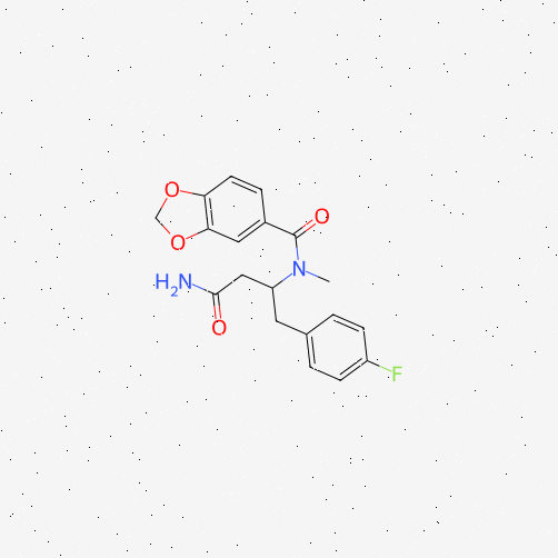 CN(C(=O)c1ccc2c(c1)OCO2)C(CC(N)=O)Cc1ccc(F)cc1